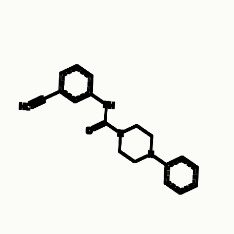 C#Cc1cccc(NC(=O)N2CCN(c3ccccc3)CC2)c1